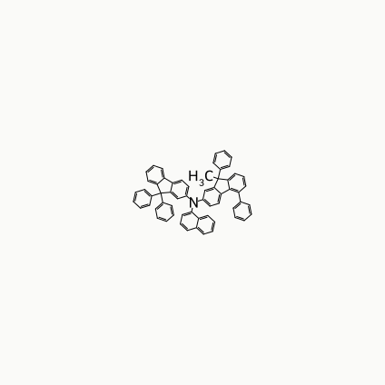 CC1(c2ccccc2)c2cc(N(c3ccc4c(c3)C(c3ccccc3)(c3ccccc3)c3ccccc3-4)c3cccc4ccccc34)ccc2-c2c(-c3ccccc3)cccc21